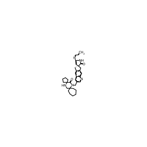 C=C/C=N\C1=C[C@@]2(Cc3cc4cc(CN5C(=O)C6(CCCC6)NCC56CCCCCC6)cnc4cc3C2)C(=O)N1